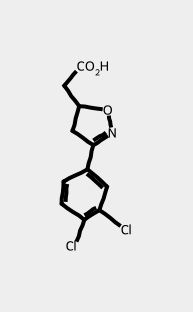 O=C(O)CC1CC(c2ccc(Cl)c(Cl)c2)=NO1